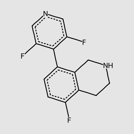 Fc1ccc(-c2c(F)cncc2F)c2c1CCNC2